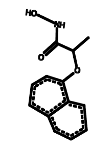 CC(Oc1cccc2ccccc12)C(=O)NO